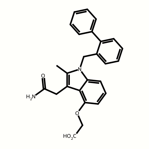 Cc1c(CC(N)=O)c2c(OCC(=O)O)cccc2n1Cc1ccccc1-c1ccccc1